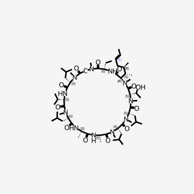 C/C=C/C[C@@H](C)[C@H](C)[C@@H]1C(=O)N[C@@H](CC)C(=O)N(C)CC(=O)N(C)[C@@H](CC(C)C)C(=O)N[C@@H](C(C)C)C(=O)N(C)[C@@H](CC(C)C)C(=O)N[C@@H](C)C(=O)N[C@@H](C)C(=O)N(C)[C@@H](CC(C)C)C(=O)N(C)[C@@H](CC(C)C)C(=O)N(C)[C@@H](C(C)O)C(=O)N1C